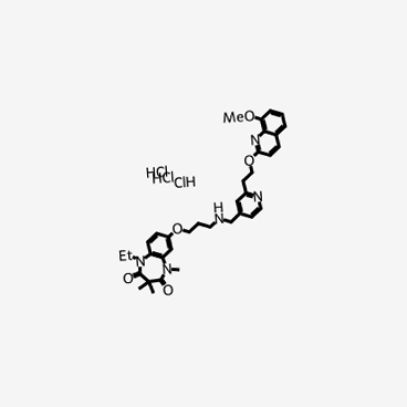 CCN1C(=O)C(C)(C)C(=O)N(C)c2cc(OCCCNCc3ccnc(CCOc4ccc5cccc(OC)c5n4)c3)ccc21.Cl.Cl.Cl